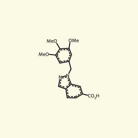 COc1cc(Cn2ncc3ccc(C(=O)O)cc32)cc(OC)c1OC